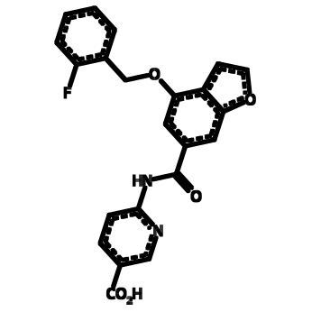 O=C(O)c1ccc(NC(=O)c2cc(OCc3ccccc3F)c3ccoc3c2)nc1